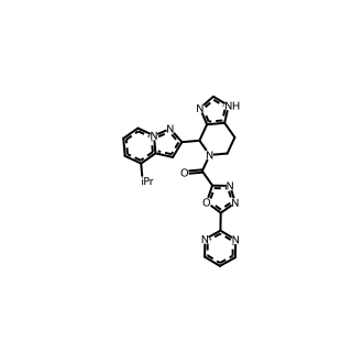 CC(C)c1cccn2nc(C3c4nc[nH]c4CCN3C(=O)c3nnc(-c4ncccn4)o3)cc12